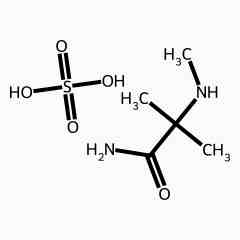 CNC(C)(C)C(N)=O.O=S(=O)(O)O